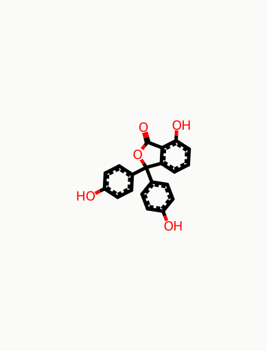 O=C1OC(c2ccc(O)cc2)(c2ccc(O)cc2)c2cccc(O)c21